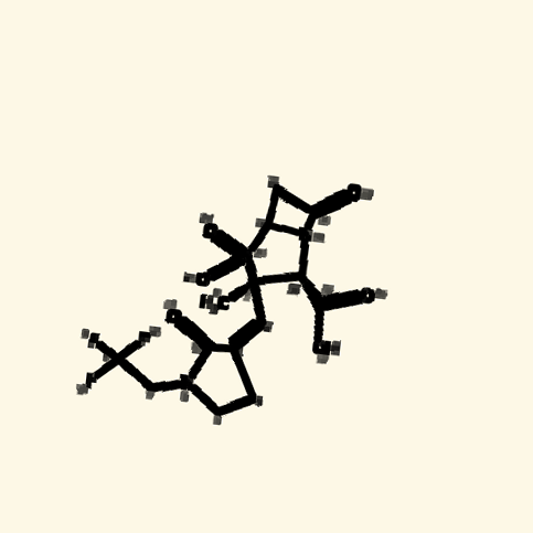 C[C@]1(C=C2CCN(CC(F)(F)F)C2=O)[C@H](C(=O)O)N2C(=O)CC2S1(=O)=O